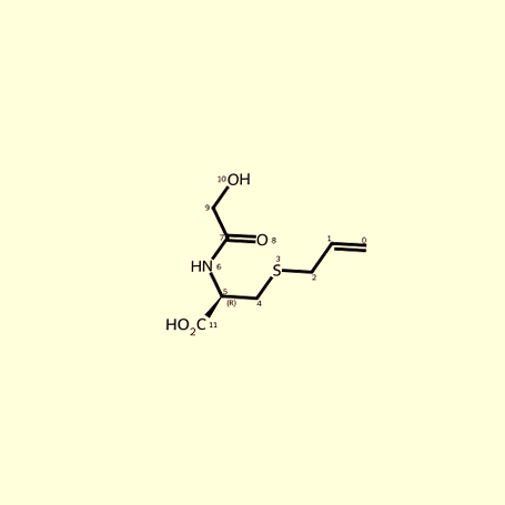 C=CCSC[C@H](NC(=O)CO)C(=O)O